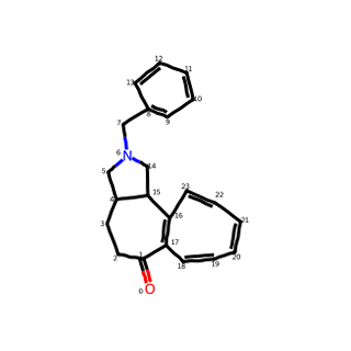 O=C1CCC2CN(Cc3ccccc3)CC2C2=C1\C=C/C=C\C=C/2